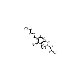 N#Cc1c(CCCCCl)ccc(CCCCCl)c1C#N